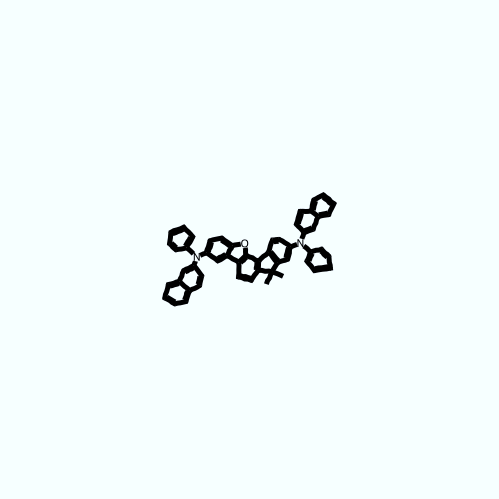 CC1(C)c2cc(N(c3ccccc3)c3ccc4ccccc4c3)ccc2-c2c1ccc1c2oc2ccc(N(c3ccccc3)c3ccc4ccccc4c3)cc21